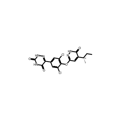 CC[C@H](C)c1cc(Oc2c(Cl)cc(-c3n[nH]c(=O)[nH]c3=O)cc2Cl)n[nH]c1=O